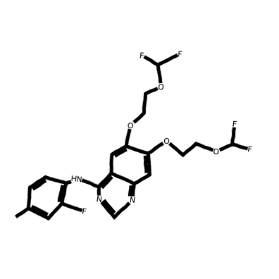 Cc1ccc(Nc2ncnc3cc(OCCOC(F)F)c(OCCOC(F)F)cc23)c(F)c1